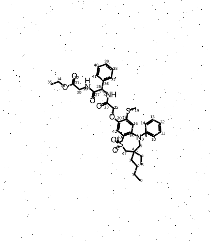 CCCCC1(CC)CN(c2ccccc2)c2cc(SC)c(OCC(=O)N[C@@H](C(=O)NCC(=O)OCC)c3ccccc3)cc2S(=O)(=O)C1